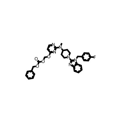 CN(c1nccc(OCOC(=O)OCc2ccccc2)n1)C1CCN(c2nc3ccccc3n2Cc2ccc(F)cc2)CC1